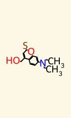 CCN(CC)c1ccc2c(CO)cc(=S)oc2c1